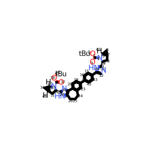 CC(C)(C)OC(=O)N1[C@@H]2CC2C[C@H]1c1ncc(-c2ccc(-c3ccc4c(c3)CCCc3[nH]c([C@@H]5C[C@H]6C[C@H]6N5C(=O)OC(C)(C)C)nc3-4)cc2)[nH]1